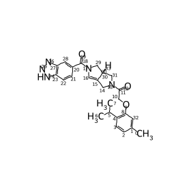 Cc1ccc(C(C)C)c(OCC(=O)N2CC3=CN(C(=O)c4ccc5[nH]nnc5c4)C[C@@H]3C2)c1